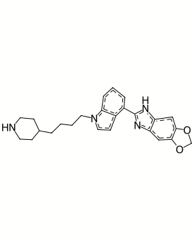 c1cc(-c2nc3cc4c(cc3[nH]2)OCO4)c2ccn(CCCCC3CCNCC3)c2c1